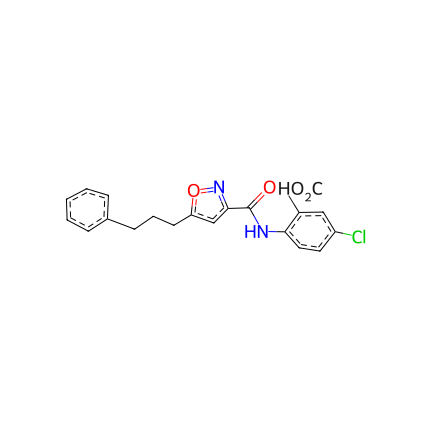 O=C(Nc1ccc(Cl)cc1C(=O)O)c1cc(CCCc2ccccc2)on1